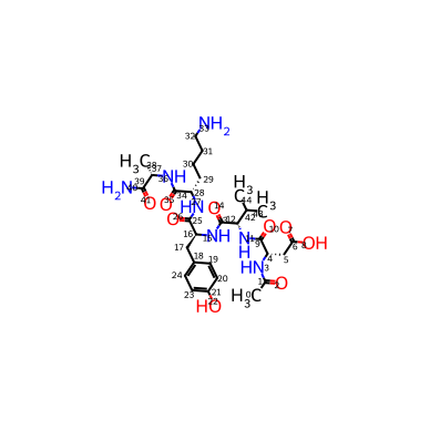 CC(=O)N[C@@H](CC(=O)O)C(=O)N[C@H](C(=O)N[C@@H](Cc1ccc(O)cc1)C(=O)N[C@@H](CCCCN)C(=O)N[C@@H](C)C(N)=O)C(C)C